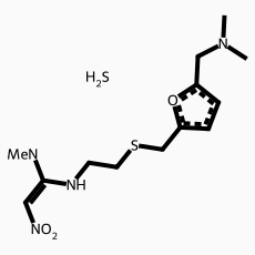 CN/C(=C/[N+](=O)[O-])NCCSCc1ccc(CN(C)C)o1.S